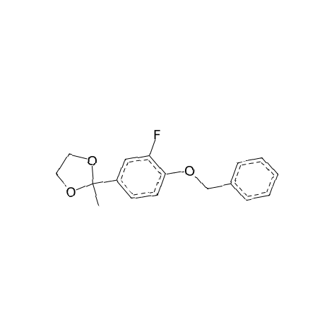 CC1(c2ccc(OCc3ccccc3)c(F)c2)OCCO1